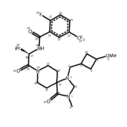 COC1CC(CN2CN(C)C(=O)C23CCN(C(=O)[C@H](NC(=O)c2cc(C(F)(F)F)ccc2F)C(C)C)CC3)C1